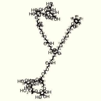 O=C(CCOCCOCCn1cc(CCO[C@@H]2O[C@H](COC3C[C@@]3(C[C@H](O)[C@@H](NC(=O)CO)[C@@H](O)[C@H](O)[C@H](O)CO)C(=O)O)[C@H](O)[C@H](O)[C@H]2O)nn1)NCCCC[C@H](NC(=O)CCCNC(=O)CCOCCOCCn1cc(CCO[C@@H]2O[C@H](CO[C@@]3(C(=O)O)C[C@H](O)[C@@H](NC(=O)CO)[C@H]([C@H](O)[C@H](O)CO)O3)[C@H](O)[C@H](O)[C@H]2O)nn1)C(=O)NCCOCCOCCOCCOCCC(=O)Oc1c(F)c(F)c(F)c(F)c1F